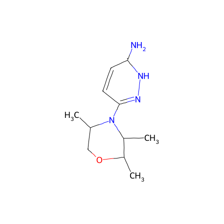 CC1OCC(C)N(C2=NN[C](N)C=C2)C1C